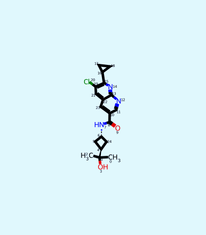 CC(C)(O)[C@H]1C[C@H](NC(=O)c2cnc3nc(C4CC4)c(Cl)cc3c2)C1